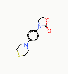 O=C1OCCN1c1ccc(N2CCSCC2)cc1